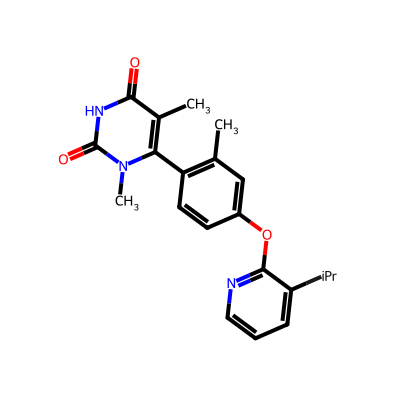 Cc1cc(Oc2ncccc2C(C)C)ccc1-c1c(C)c(=O)[nH]c(=O)n1C